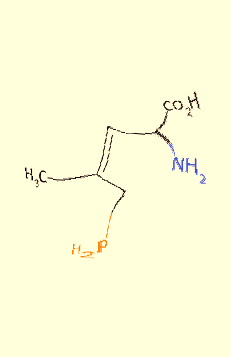 CC(=CC(N)C(=O)O)CP